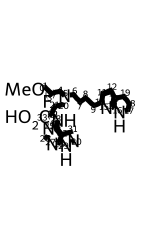 COC[C@@H](F)CN(CCCCc1ccc2c(n1)NCCC2)CC[C@H](Nc1ncnc2[nH]ncc12)C(=O)O